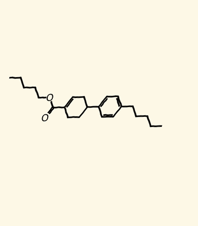 CCCCCOC(=O)C1=CCC(c2ccc(CCCCC)cc2)CC1